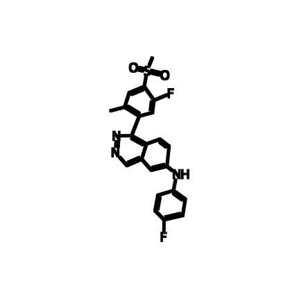 Cc1cc(S(C)(=O)=O)c(F)cc1-c1nncc2cc(Nc3ccc(F)cc3)ccc12